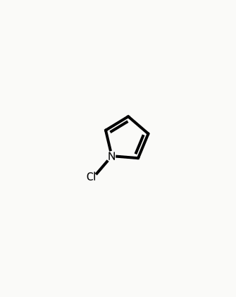 Cln1cccc1